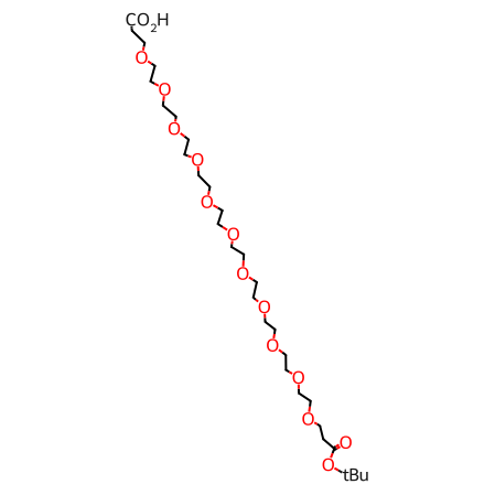 CC(C)(C)OC(=O)CCOCCOCCOCCOCCOCCOCCOCCOCCOCCOCCOCCC(=O)O